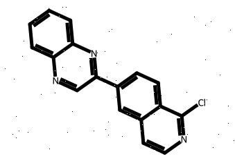 Clc1nccc2cc(-c3cnc4cc[c]cc4n3)ccc12